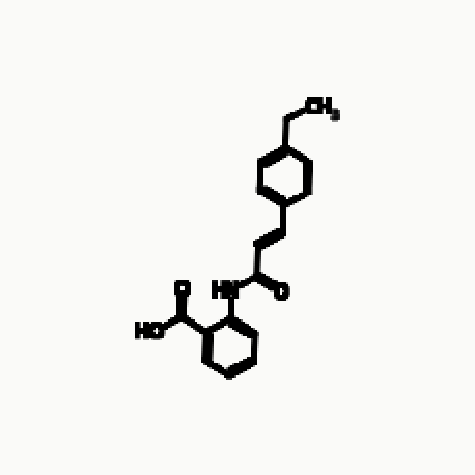 CCc1ccc(C=CC(=O)Nc2ccccc2C(=O)O)cc1